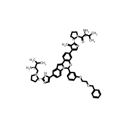 C=C1C(c2ccc3c(c2)OC(c2cccc(OCCOCc4ccccc4)c2)n2c-3cc3cc(-c4cnc([C@@H]5CCCN5C[C@@H](N)C(C)C)[nH]4)ccc32)=CN=C1[C@@H]1CCCN1C(=O)[C@@H](N)C(C)C